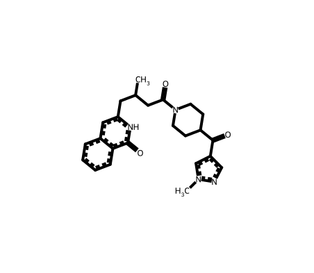 CC(CC(=O)N1CCC(C(=O)c2cnn(C)c2)CC1)Cc1cc2ccccc2c(=O)[nH]1